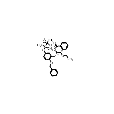 CCOC(=O)[C@H](Cc1cc(O[Si](C)(C)C(C)(C)C)ccc1OCc1ccccc1)OC(=O)c1ccccc1